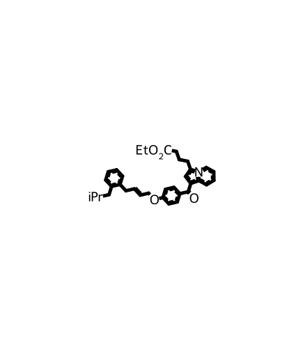 CCOC(=O)CCCc1cc(C(=O)c2ccc(OCC=CCc3ccccc3CC(C)C)cc2)c2ccccn12